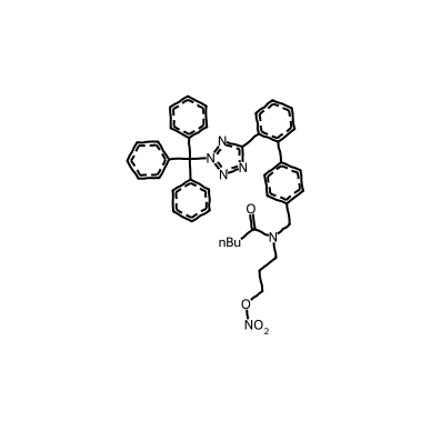 CCCCC(=O)N(CCCO[N+](=O)[O-])Cc1ccc(-c2ccccc2-c2nnn(C(c3ccccc3)(c3ccccc3)c3ccccc3)n2)cc1